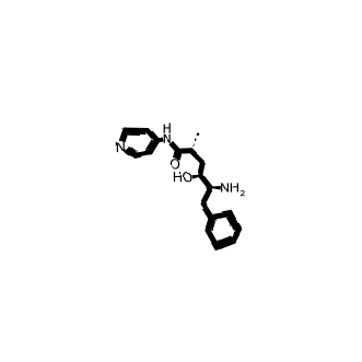 C[C@H](C[C@H](O)[C@@H](N)Cc1ccccc1)C(=O)Nc1ccncc1